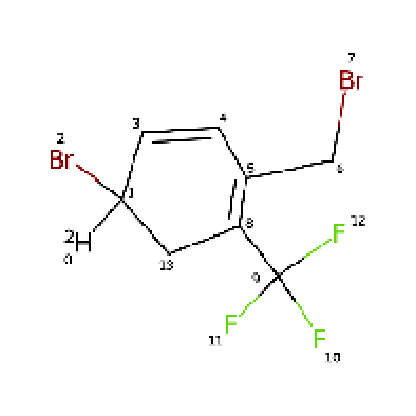 [2H]C1(Br)C=CC(CBr)=C(C(F)(F)F)C1